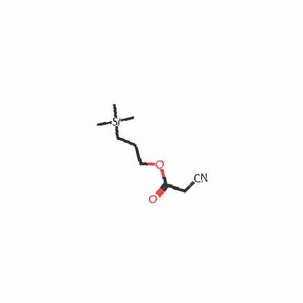 C[Si](C)(C)CCCOC(=O)CC#N